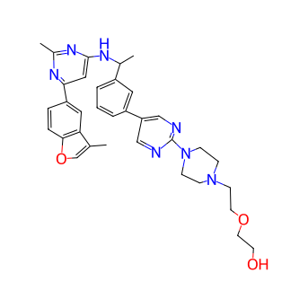 Cc1nc(NC(C)c2cccc(-c3cnc(N4CCN(CCOCCO)CC4)nc3)c2)cc(-c2ccc3occ(C)c3c2)n1